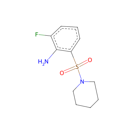 Nc1c(F)cccc1S(=O)(=O)N1CCCCC1